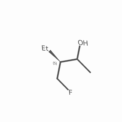 CC[C@H](CF)C(C)O